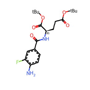 CC(C)(C)OC(=O)CC[C@@H](NC(=O)c1ccc(N)c(F)c1)C(=O)OC(C)(C)C